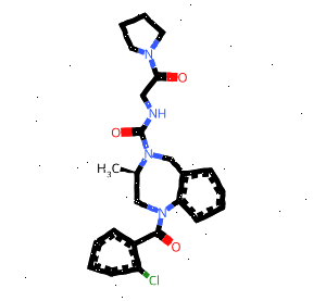 C[C@@H]1CN(C(=O)c2ccccc2Cl)c2ccccc2CN1C(=O)NCC(=O)N1CCCC1